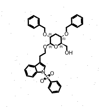 O=S(=O)(c1ccccc1)n1cc(CCO[C@@H]2O[C@H](CO)[C@@H](OCc3ccccc3)C[C@H]2OCc2ccccc2)c2ccccc21